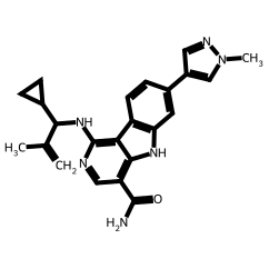 C=C(C)C(Nc1ncc(C(N)=O)c2[nH]c3cc(-c4cnn(C)c4)ccc3c12)C1CC1